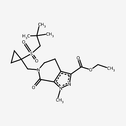 CCOC(=O)c1nn(C)c2c1CCN(CC1(S(=O)(=O)CC(C)(C)C)CC1)C2=O